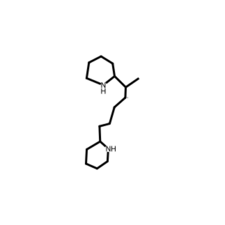 CC([CH]CCCC1CCCCN1)C1CCCCN1